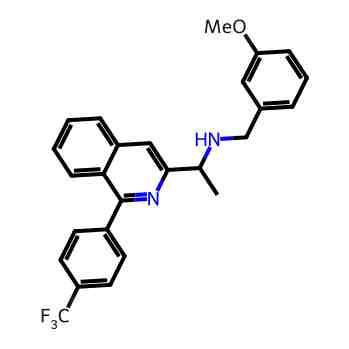 COc1cccc(CNC(C)c2cc3ccccc3c(-c3ccc(C(F)(F)F)cc3)n2)c1